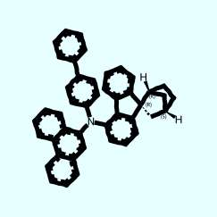 c1ccc(-c2ccc(N(c3cccc4c3-c3ccccc3[C@]43C[C@H]4CC[C@@H]3C4)c3cc4ccccc4c4ccccc34)cc2)cc1